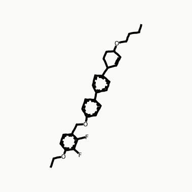 CCCCOC1C=CC(c2ccc(-c3ccc(OCc4ccc(OCC)c(F)c4F)cc3)cc2)CC1